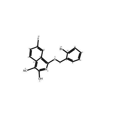 N#Cc1c(O)nc(SCc2ccccc2Br)c2cc(F)ccc12